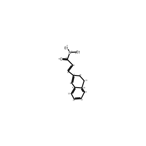 CCN(CC)C(=O)C=CC1=Cc2ccccc2CC1